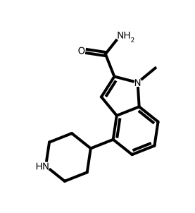 Cn1c(C(N)=O)cc2c(C3CCNCC3)cccc21